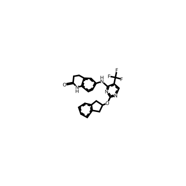 O=C1CCc2cc(Nc3nc(OC4Cc5ccccc5C4)ncc3C(F)(F)F)ccc2N1